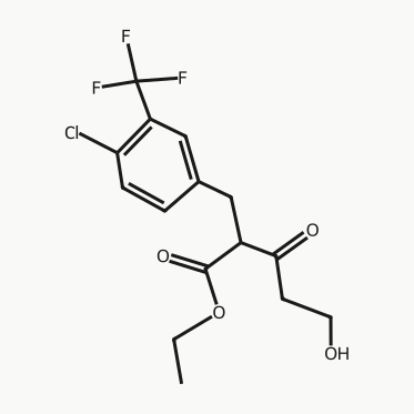 CCOC(=O)C(Cc1ccc(Cl)c(C(F)(F)F)c1)C(=O)CCO